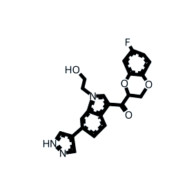 O=C(c1cn(CCO)c2cc(-c3cn[nH]c3)ccc12)C1COc2ccc(F)cc2O1